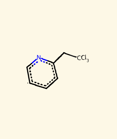 ClC(Cl)(Cl)Cc1cc[c]cn1